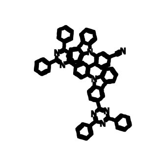 N#Cc1ccc(-c2cc(-c3nc(-c4ccccc4)nc(-c4ccccc4)n3)ccc2-n2c3ccccc3c3cc(-c4nc(-c5ccccc5)nc(-c5ccccc5)n4)ccc32)c(-n2c3ccccc3c3ccccc32)c1